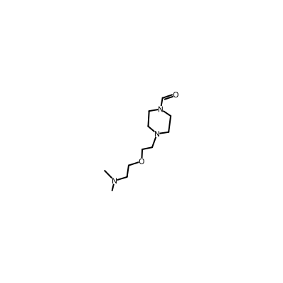 CN(C)CCOCCN1CCN(C=O)CC1